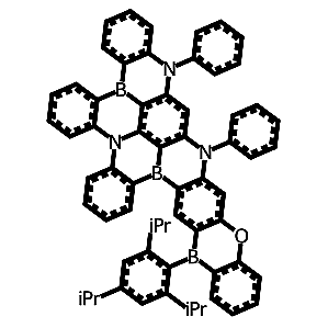 CC(C)c1cc(C(C)C)c(B2c3ccccc3Oc3cc4c(cc32)B2c3ccccc3N3c5ccccc5B5c6ccccc6N(c6ccccc6)c6cc(c2c3c65)N4c2ccccc2)c(C(C)C)c1